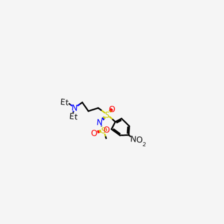 CCN(CC)CCCS(=O)(=NS(C)(=O)=O)c1ccc([N+](=O)[O-])cc1